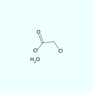 O.O=C(Cl)CCl